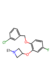 CCN1CC(Oc2cc(F)ccc2OCc2cccc(Cl)c2)C1